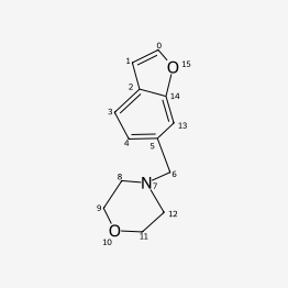 c1cc2ccc(CN3CCOCC3)cc2o1